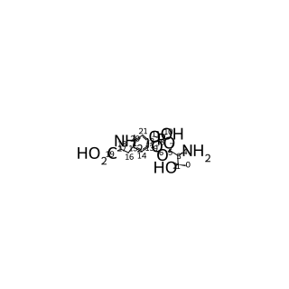 C[C@@H](O)[C@H](N)C(=O)OP(=O)(O)Oc1ccc(C[C@H](N)C(=O)O)cc1